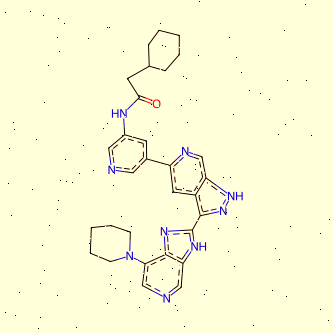 O=C(CC1CCCCC1)Nc1cncc(-c2cc3c(-c4nc5c(N6CCCCC6)cncc5[nH]4)n[nH]c3cn2)c1